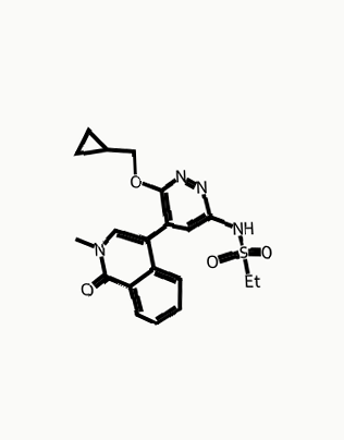 CCS(=O)(=O)Nc1cc(-c2cn(C)c(=O)c3ccccc23)c(OCC2CC2)nn1